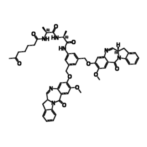 COc1cc2c(cc1OCc1cc(COc3cc4c(cc3OC)C(=O)N3c5ccccc5C[C@H]3C=N4)cc(NC(=O)[C@H](C)NC(=O)[C@H](C)NC(=O)CCCCC(C)=O)c1)N=CC1Cc3ccccc3N1C2=O